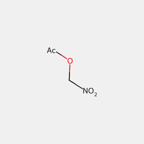 CC(=O)OC[N+](=O)[O-]